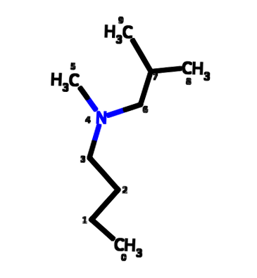 CCCCN(C)CC(C)C